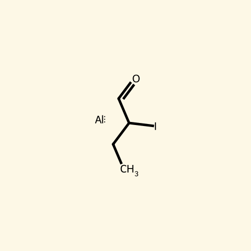 CCC(I)C=O.[Al]